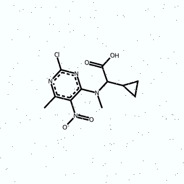 Cc1nc(Cl)nc(N(C)C(C(=O)O)C2CC2)c1[N+](=O)[O-]